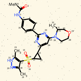 CNC(=O)Nc1ccc(-c2nc(C3CC3S(=O)(=O)c3c(C)n[nH]c3C)cc(N3CCOC[C@@H]3C)n2)cc1